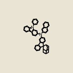 c1ccc(-n2c3ccccc3c3ccc(N(c4ccc5c(c4)-c4ccccc4C54C5CC6CC(C5)CC4C6)c4ccc5ccccc5c4)cc32)cc1